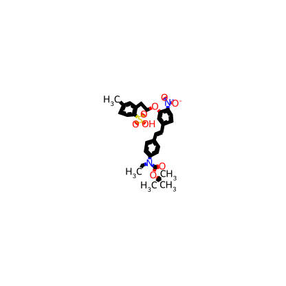 CCN(C(=O)OC(C)(C)C)c1ccc(C=Cc2ccc([N+](=O)[O-])c(OCCc3cc(C)ccc3S(=O)(=O)O)c2)cc1